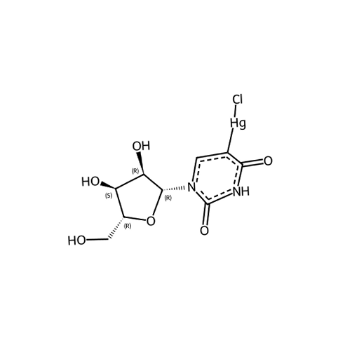 O=c1[nH]c(=O)n([C@@H]2O[C@H](CO)[C@@H](O)[C@H]2O)c[c]1[Hg][Cl]